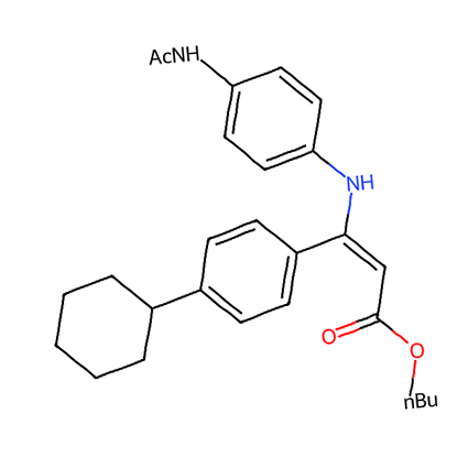 CCCCOC(=O)/C=C(/Nc1ccc(NC(C)=O)cc1)c1ccc(C2CCCCC2)cc1